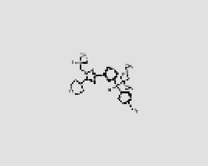 CC(C)c1ccc(C(O)(c2cncc(-c3nc(C4CCOCC4)n(CC(C)(F)F)n3)c2)C2(C)CN(C)C2)cc1